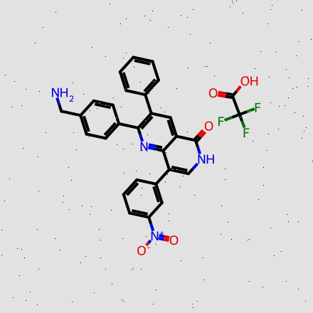 NCc1ccc(-c2nc3c(-c4cccc([N+](=O)[O-])c4)c[nH]c(=O)c3cc2-c2ccccc2)cc1.O=C(O)C(F)(F)F